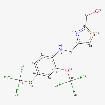 [O]Cc1nc(CNc2ccc(OC(F)(F)F)cc2OC(F)(F)F)cs1